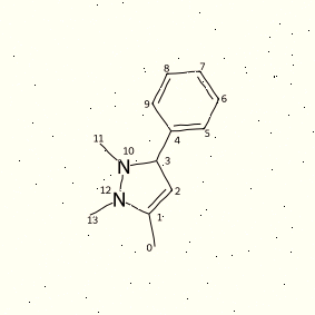 CC1=CC(c2ccccc2)N(C)N1C